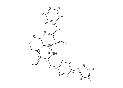 CCOC(=O)C(Cc1ccc(-c2ccsc2)cc1)N[C@@H](CC(C)C)C(=O)OCc1ccccc1